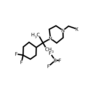 CC(C)(C1CCC(F)(F)CC1)N1CCN([CH2][K])CC1.FB(F)F